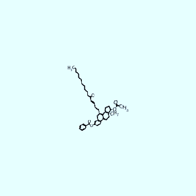 CCCCCCCCCCCC(=O)C=CCC[C@@H]1Cc2cc(OC(=O)c3ccccc3)ccc2C2CC[C@@]3(C)C(CC[C@@H]3OC(C)=O)C21